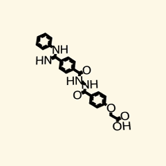 N=C(Nc1ccccc1)c1ccc(C(=O)NNC(=O)c2ccc(OCC(=O)O)cc2)cc1